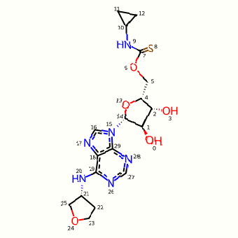 O[C@@H]1[C@@H](O)[C@@H](COC(=S)NC2CC2)O[C@H]1n1cnc2c(N[C@@H]3CCOC3)ncnc21